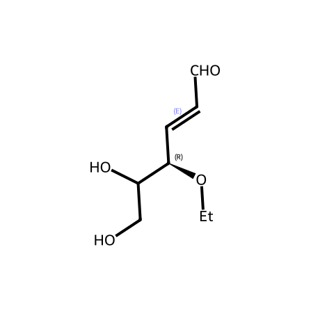 CCO[C@H](/C=C/C=O)C(O)CO